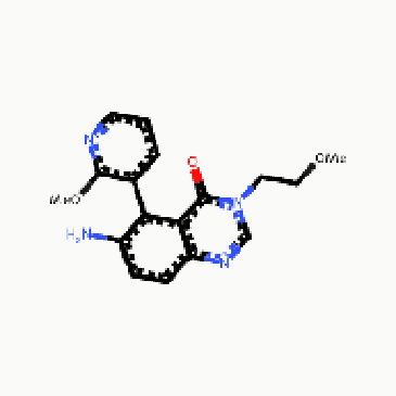 COCCn1cnc2ccc(N)c(-c3cccnc3OC)c2c1=O